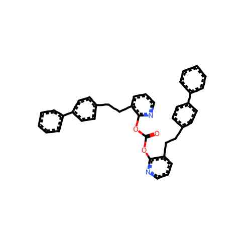 O=C(Oc1ncccc1CCc1ccc(-c2ccccc2)cc1)Oc1ncccc1CCc1ccc(-c2ccccc2)cc1